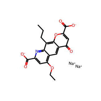 CCCc1c2nc(C(=O)[O-])cc(OCC)c2cc2c(=O)cc(C(=O)[O-])oc12.[Na+].[Na+]